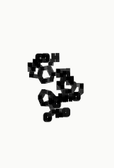 O=NC(=O)C1C2C=CC(C2=O)C1Nc1nc(Nc2ccc3cnn(C(=O)O)c3c2)nc2ccoc12